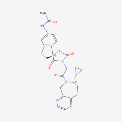 CNC(=O)Nc1ccc2c(c1)CC[C@]21OC(=O)N(CC(=O)N2Cc3ncccc3CC[C@H]2C2CC2)C1=O